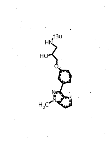 Cn1nc(-c2cccc(OCC(O)CNC(C)(C)C)c2)c2sccc21